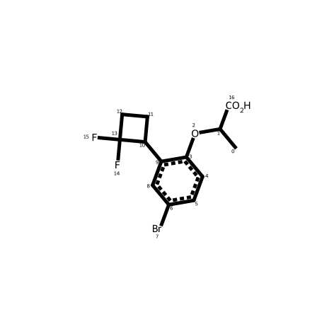 CC(Oc1ccc(Br)cc1C1CCC1(F)F)C(=O)O